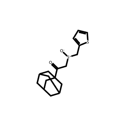 O=C(C[S+]([O-])Cc1cccs1)C12CC3CC(CC(C3)C1)C2